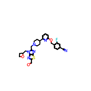 N#Cc1ccc(COc2cccc(C3CCN(Cc4nc5sc(C=O)nc5n4CC4CCO4)CC3)n2)c(F)c1